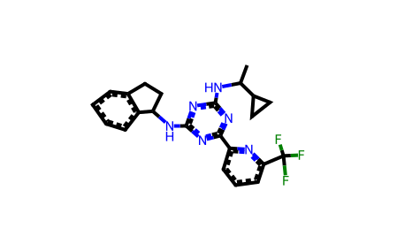 CC(Nc1nc(NC2CCc3ccccc32)nc(-c2cccc(C(F)(F)F)n2)n1)C1CC1